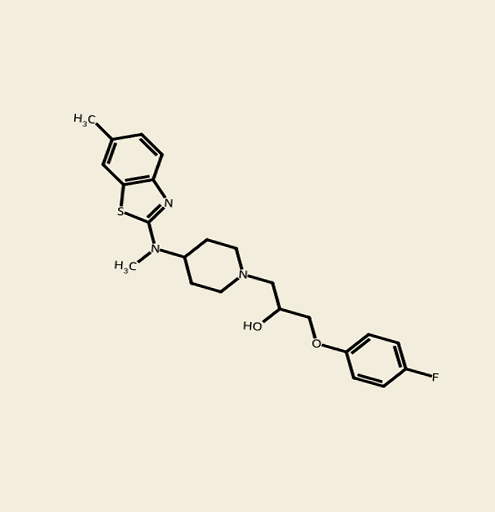 Cc1ccc2nc(N(C)C3CCN(CC(O)COc4ccc(F)cc4)CC3)sc2c1